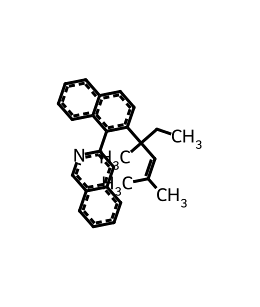 CCC(C)(C=C(C)C)c1ccc2ccccc2c1-c1cc2ccccc2cn1